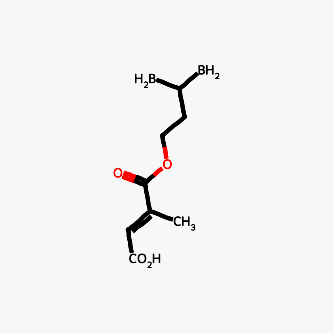 BC(B)CCOC(=O)/C(C)=C/C(=O)O